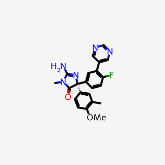 COc1ccc([C@@]2(c3ccc(F)c(-c4cncnc4)c3)N=C(N)N(C)C2=O)cc1C